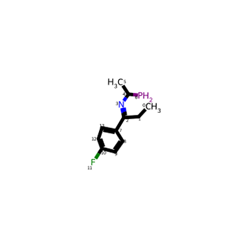 CCC(=NC(C)P)c1ccc(F)cc1